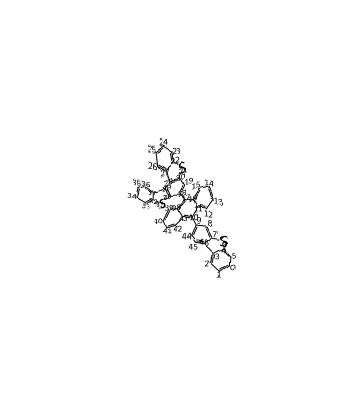 c1ccc2c(c1)sc1cc(-c3c4ccccc4c(-c4cc5sc6ccccc6c5c5c4sc4ccccc45)c4ccccc34)ccc12